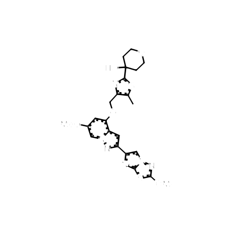 COc1cc(OCc2nc(C3(O)CCOCC3)sc2C)c2cc(-c3cn4nc(OC)sc4n3)nn2c1